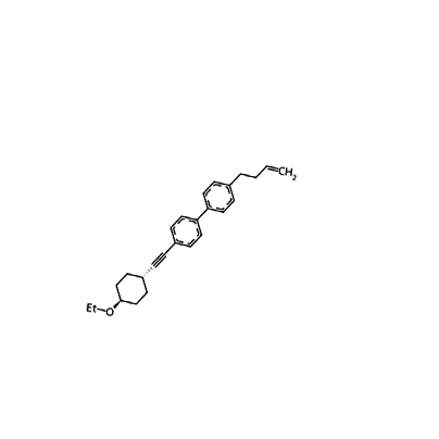 C=CCCc1ccc(-c2ccc(C#C[C@H]3CC[C@H](OCC)CC3)cc2)cc1